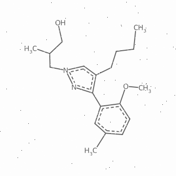 CCCCc1cn(CC(C)CO)nc1-c1cc(C)ccc1OC